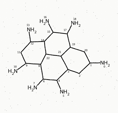 NC1CC2C(N)C(N)C3C(N)CC(N)C4C(N)C(N)C(C1)C2C34